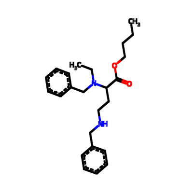 CCCCOC(=O)C(CCNCc1ccccc1)N(CC)Cc1ccccc1